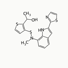 CC(O)c1sccc1SN(C)c1cccc2cc(-c3nccs3)[nH]c12